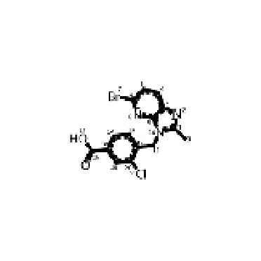 Cc1nc2ccc(Br)nc2n1Cc1ccc(C(=O)O)cc1Cl